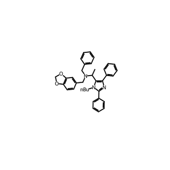 CCCCn1c(-c2ccccc2)nc(-c2ccccc2)c1C(C)N(Cc1ccccc1)Cc1ccc2c(c1)OCO2